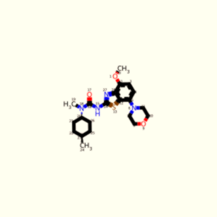 COc1ccc(N2CCOCC2)c2sc(NC(=O)N(C)[C@H]3CC[C@H](C)CC3)nc12